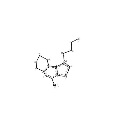 Nc1nc2c(c3c1ncn3CCCCl)CCCC2